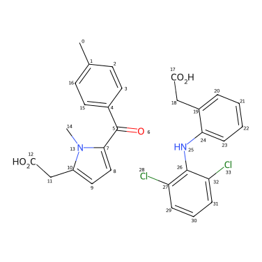 Cc1ccc(C(=O)c2ccc(CC(=O)O)n2C)cc1.O=C(O)Cc1ccccc1Nc1c(Cl)cccc1Cl